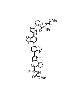 COC(=O)N[C@H](C(=O)N1CCC[C@H]1c1ncc(-c2ccc(-c3ccc(-c4cnc([C@@H]5CCCN5C(=O)[C@@H](NC(=O)OC)C(C)C)[nH]4)c4ocnc34)c3ocnc23)[nH]1)C(C)C